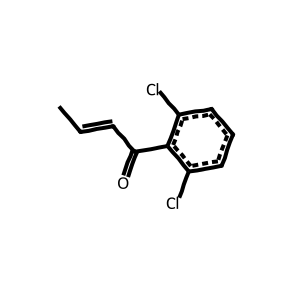 CC=CC(=O)c1c(Cl)cccc1Cl